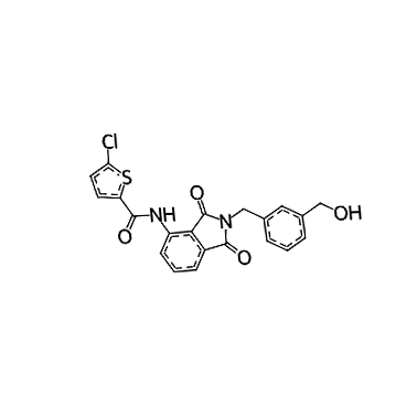 O=C(Nc1cccc2c1C(=O)N(Cc1cccc(CO)c1)C2=O)c1ccc(Cl)s1